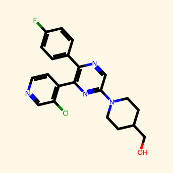 OCC1CCN(c2cnc(-c3ccc(F)cc3)c(-c3ccncc3Cl)n2)CC1